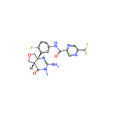 CN1C(=O)[C@@H]2COC[C@]2(c2cc(NC(=O)c3cnc(C(F)F)cn3)ccc2F)N=C1N